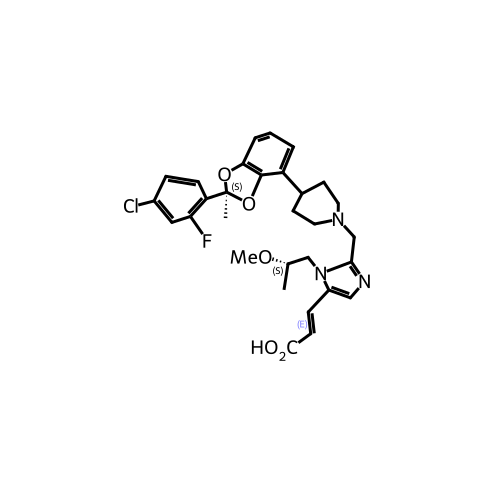 CO[C@@H](C)Cn1c(/C=C/C(=O)O)cnc1CN1CCC(c2cccc3c2O[C@@](C)(c2ccc(Cl)cc2F)O3)CC1